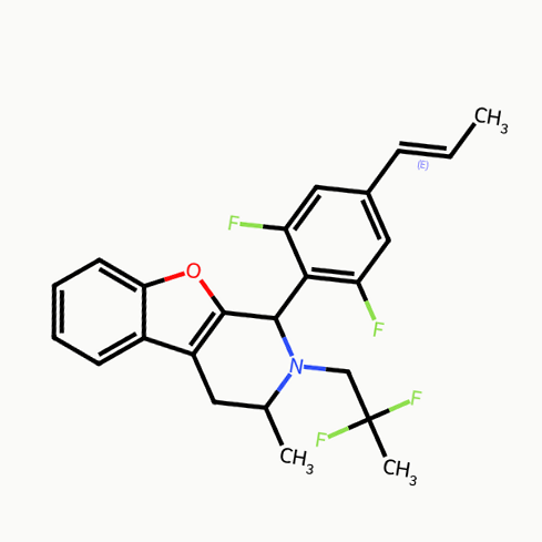 C/C=C/c1cc(F)c(C2c3oc4ccccc4c3CC(C)N2CC(C)(F)F)c(F)c1